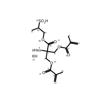 C=C(C)C(=O)OCC(CCCCCC)(COC(=O)C(=C)C)C(=O)OCC(C)S(=O)(=O)O.[KH]